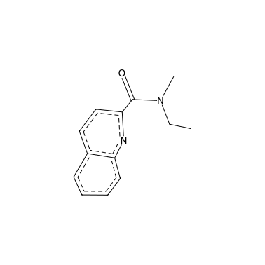 CCN(C)C(=O)c1ccc2ccccc2n1